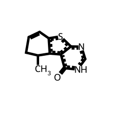 CC1CC=Cc2sc3nc[nH]c(=O)c3c21